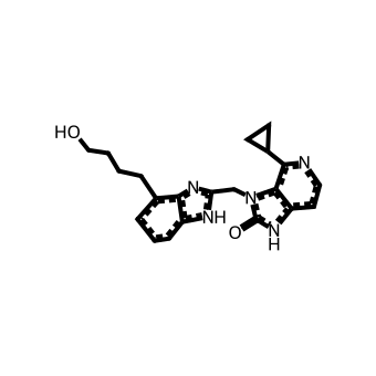 O=c1[nH]c2ccnc(C3CC3)c2n1Cc1nc2c(CCCCO)cccc2[nH]1